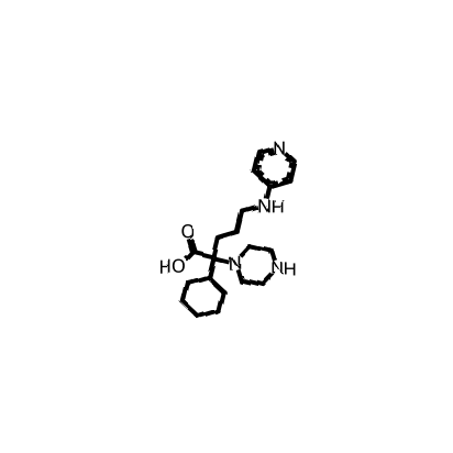 O=C(O)C(CCCNc1ccncc1)(C1CCCCC1)N1CCNCC1